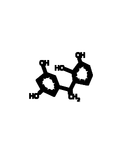 C=C(c1cc(O)cc(O)c1)c1cccc(O)c1O